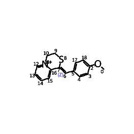 COc1ccc(/C=C2\SCC[n+]3ccccc32)cc1